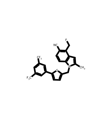 Cc1cc2c(CF)c(C#N)ccc2n1Cc1ccc(-c2cc(C(F)(F)F)cc(C(F)(F)F)c2)s1